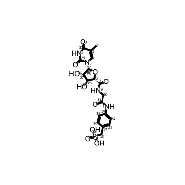 Cc1cn([C@@H]2O[C@H](C(=O)NCC(=O)Nc3ccc(CP(=O)(O)O)cc3)[C@@H](O)[C@@H]2O)c(=O)[nH]c1=O